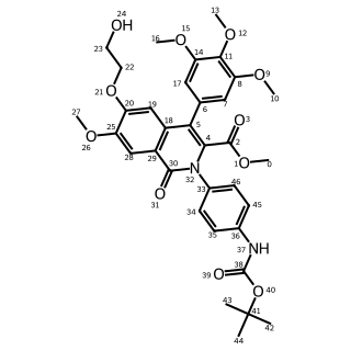 COC(=O)c1c(-c2cc(OC)c(OC)c(OC)c2)c2cc(OCCO)c(OC)cc2c(=O)n1-c1ccc(NC(=O)OC(C)(C)C)cc1